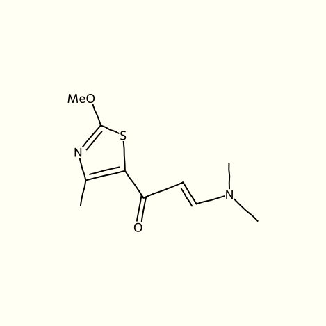 COc1nc(C)c(C(=O)C=CN(C)C)s1